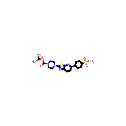 CC(C)OC(=O)N1CCN(c2nc3ccc(-c4ccc(S(C)(=O)=O)cc4)nc3s2)CC1